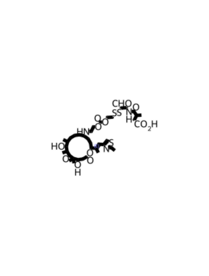 C/C(=C\c1csc(C)n1)C1CCC(NCCOC(=O)OCCSSCC(C=O)NC(=O)C(C)CC(=O)O)CCCC(C)C(O)C(C)C(=O)C(C)(C)C(O)CC(=O)O1